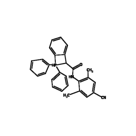 Cc1cc(C#N)cc(C)c1NC(=O)C1c2ccccc2[PH]1(c1ccccc1)c1ccccc1